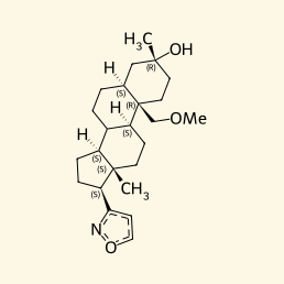 COC[C@]12CC[C@@](C)(O)C[C@@H]1CCC1[C@@H]3CC[C@H](c4ccon4)[C@@]3(C)CC[C@@H]12